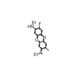 CCN=c1cc2oc3cc(NCC)c(F)cc3nc-2cc1C